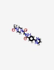 CCC(=O)N1CCN(C(=O)CNC(=O)c2ccc(-c3ncccn3)cc2)CC1